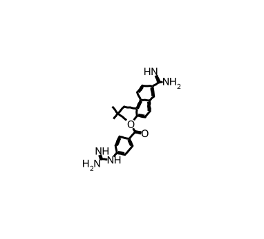 CC(C)(C)Cc1c(OC(=O)c2ccc(NC(=N)N)cc2)ccc2cc(C(=N)N)ccc12